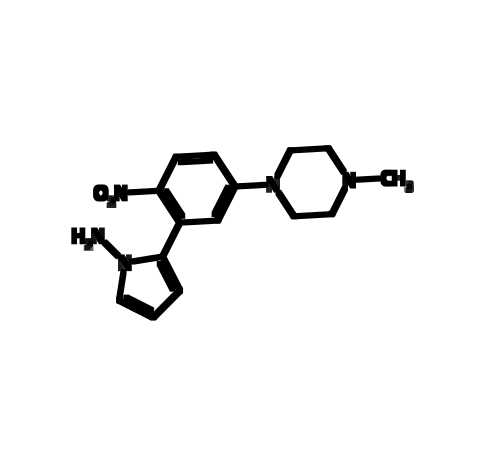 CN1CCN(c2ccc([N+](=O)[O-])c(-c3cccn3N)c2)CC1